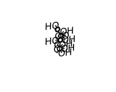 CC1OC(Oc2cc(O)c3c(=O)c(O)c(-c4ccc(O)cc4)oc3c2O)C(O)C(O)C1O